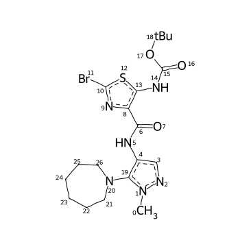 Cn1ncc(NC(=O)c2nc(Br)sc2NC(=O)OC(C)(C)C)c1N1CCCCCC1